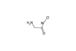 NC[C](=O)[Ni][Cl]